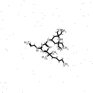 C=CCNc1nc(OC2CC(CC)(CC)NC(CC)(CC)C2)nc(C(C)(C)CCCCC)n1